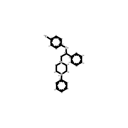 Fc1ccc(OC(CN2CCN(c3ccccc3)CC2)c2ccccc2)cc1